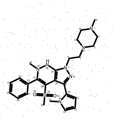 CN1CCN(CCn2nc(-c3cccn3C)c3c2NN(C)C(c2ccccc2)=C3S(C)(=O)=O)CC1